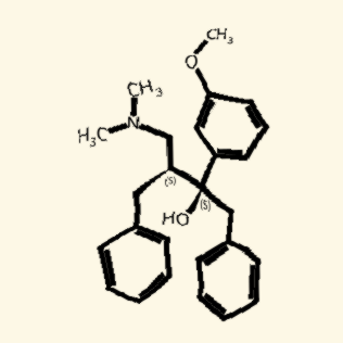 COc1cccc([C@](O)(Cc2ccccc2)[C@@H](Cc2ccccc2)CN(C)C)c1